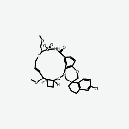 COC[C@@H]1CC/C=C/[C@H](OC)[C@@H]2CC[C@H]2CN2C[C@@]3(CCCc4cc(Cl)ccc43)COc3ccc(cc32)C(=O)NS1(=O)=O